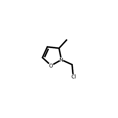 CC1C=CON1CCl